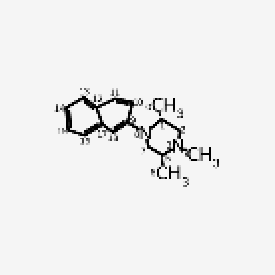 C[C@@H]1CN(C)[C@@H](C)CN1c1ccc2ccccc2c1